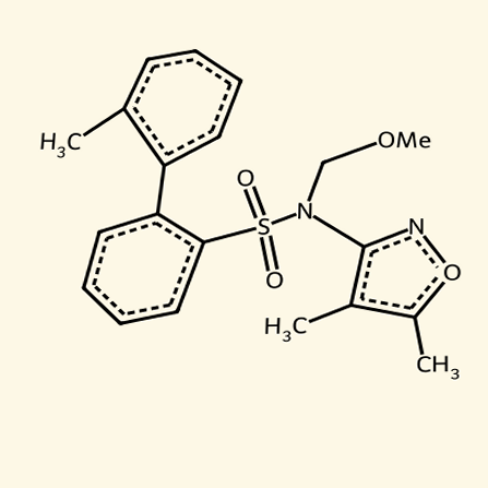 COCN(c1noc(C)c1C)S(=O)(=O)c1ccccc1-c1ccccc1C